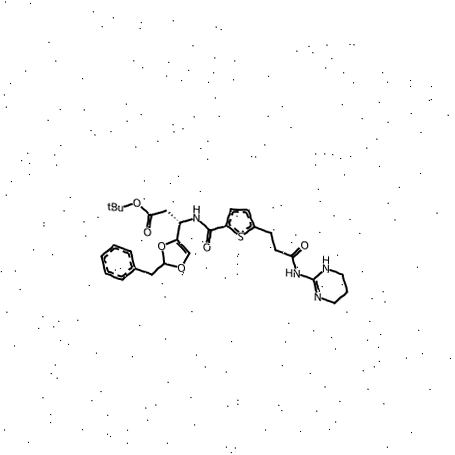 CC(C)(C)OC(=O)C[C@H](NC(=O)c1ccc(CCC(=O)NC2=NCCCN2)s1)C1=COC(Cc2ccccc2)O1